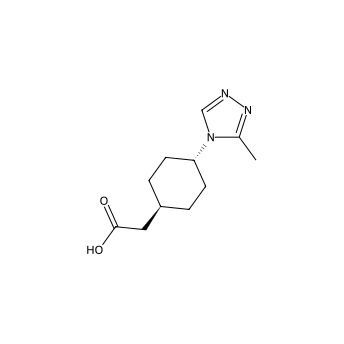 Cc1nncn1[C@H]1CC[C@H](CC(=O)O)CC1